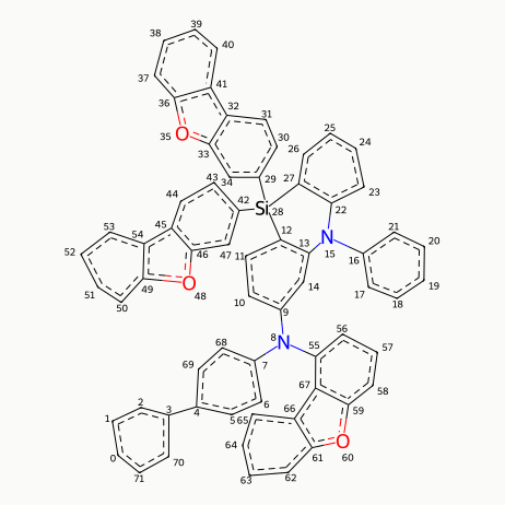 c1ccc(-c2ccc(N(c3ccc4c(c3)N(c3ccccc3)c3ccccc3[Si]4(c3ccc4c(c3)oc3ccccc34)c3ccc4c(c3)oc3ccccc34)c3cccc4oc5ccccc5c34)cc2)cc1